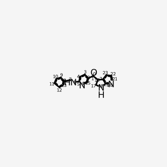 O=C(c1ccc(NCc2ccccc2)nc1)C1CNc2ncccc21